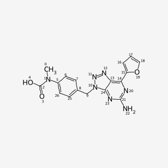 CN(C(=O)O)c1ccc(Cn2nnc3c(-c4ccco4)nc(N)nc32)cc1